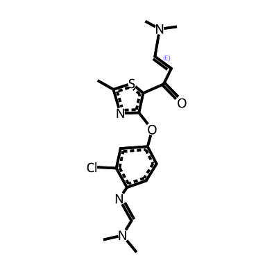 Cc1nc(Oc2ccc(N=CN(C)C)c(Cl)c2)c(C(=O)/C=C/N(C)C)s1